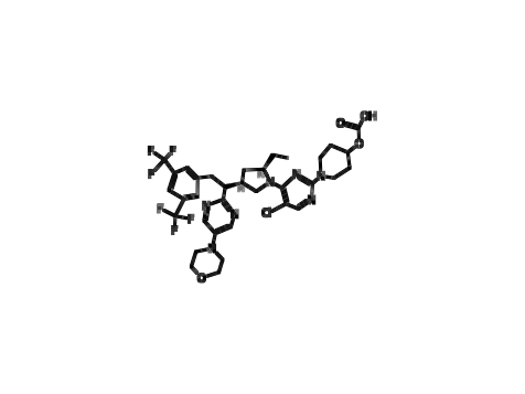 CC[C@@H]1C[C@H](C(Cc2cc(C(F)(F)F)cc(C(F)(F)F)c2)c2ncc(N3CCOCC3)cn2)CN1c1nc(N2CCC(OC(=O)O)CC2)ncc1Cl